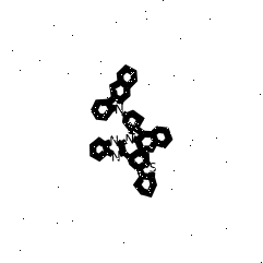 c1ccc2cc3c(cc2c1)c1ccccc1n3-c1ccc2c3c4ccccc4ccc3n(-c3nc4ccccc4nc3-c3ccc4sc5ccccc5c4c3)c2c1